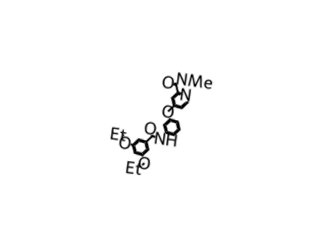 CCOc1cc(OCC)cc(C(=O)Nc2cccc(Oc3ccnc(C(=O)NC)c3)c2)c1